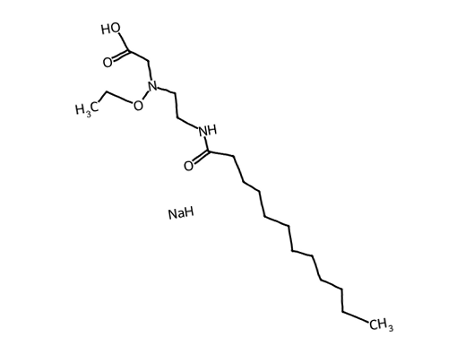 CCCCCCCCCCCC(=O)NCCN(CC(=O)O)OCC.[NaH]